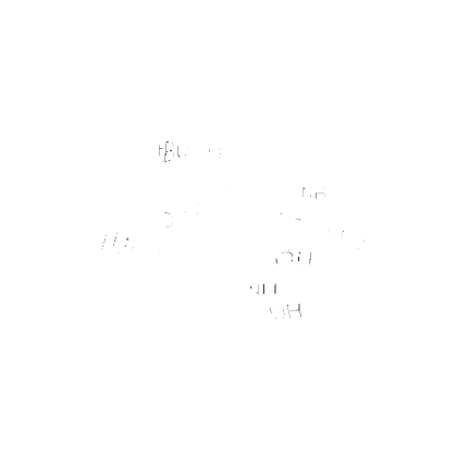 CC(C)(C)OC(=O)CCC(N)(O)C(=O)O.NC(=O)CCC(=O)NO